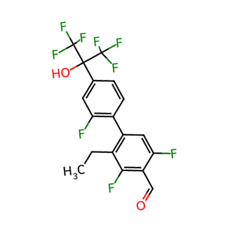 CCc1c(-c2ccc(C(O)(C(F)(F)F)C(F)(F)F)cc2F)cc(F)c(C=O)c1F